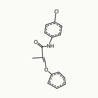 C/C(=C\Oc1ccccc1)C(=O)Nc1ccc(Cl)cc1